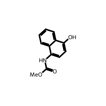 COC(=O)Nc1ccc(O)c2ccccc12